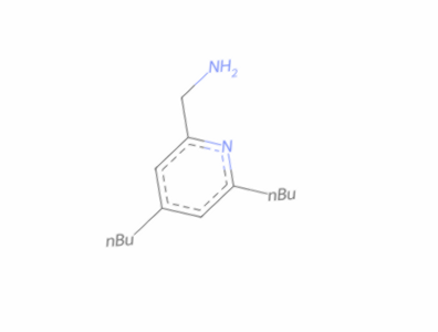 CCCCc1cc(CN)nc(CCCC)c1